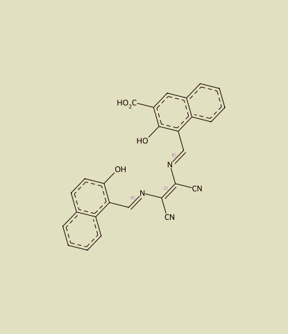 N#CC(/N=C/c1c(O)ccc2ccccc12)=C(C#N)/N=C/c1c(O)c(C(=O)O)cc2ccccc12